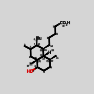 CCC(C)[C@@H]1C(C)C[C@H]2C(O)CC[C@H](C)[C@H]2[C@@H]1CCCCC(=O)O